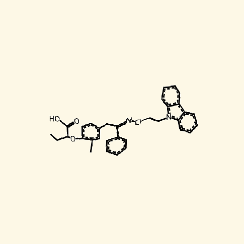 CCC(Oc1ccc(CC(=NOCCn2c3ccccc3c3ccccc32)c2ccccc2)cc1C)C(=O)O